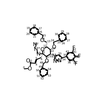 COC(=O)/C=C/C[C@]1(N=[N+]=[N-])O[C@H](COCc2ccccc2)[C@H](OCc2ccccc2)[C@H](n2cc(-c3cc(F)c(F)c(F)c3)nn2)[C@H]1OCc1ccccc1